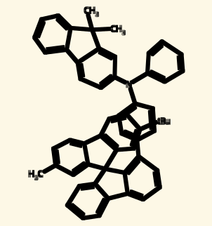 Cc1ccc2c(c1)C1(c3cc(C(C)(C)C)ccc3-2)c2ccccc2-c2cccc(-c3ccc(N(c4ccccc4)c4ccc5c(c4)C(C)(C)c4ccccc4-5)cc3)c21